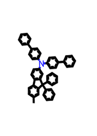 Cc1ccc2c(c1)C(c1ccccc1)(c1ccccc1)c1cc(N(c3ccc(-c4ccccc4)cc3)c3ccc(-c4ccccc4)cc3)ccc1-2